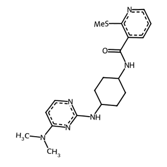 CSc1ncccc1C(=O)NC1CCC(Nc2nccc(N(C)C)n2)CC1